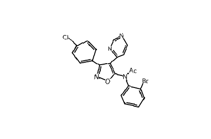 CC(=O)N(c1ccccc1Br)c1onc(-c2ccc(Cl)cc2)c1-c1ccncn1